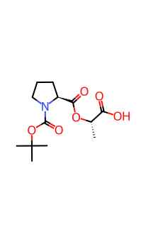 C[C@H](OC(=O)[C@@H]1CCCN1C(=O)OC(C)(C)C)C(=O)O